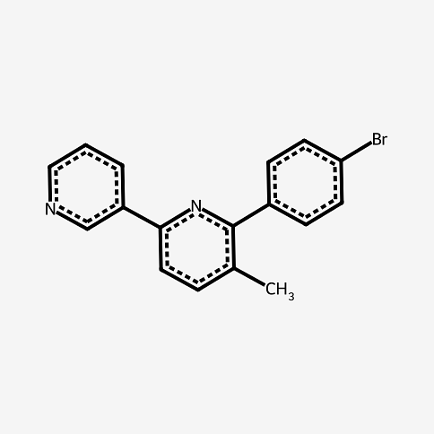 Cc1ccc(-c2cccnc2)nc1-c1ccc(Br)cc1